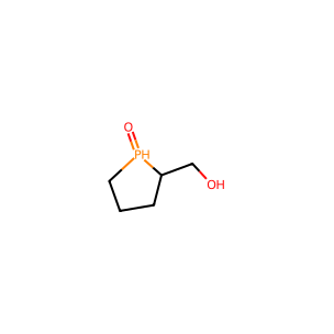 O=[PH]1CCCC1CO